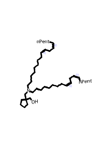 CCCCC/C=C\C/C=C\CCCCCCCCN(CCCCCCCC/C=C\C/C=C\CCCCC)CC1(CO)CCCC1